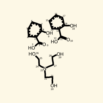 O=C(O)c1ccccc1O.O=C(O)c1ccccc1O.OCCN(CCO)CCO